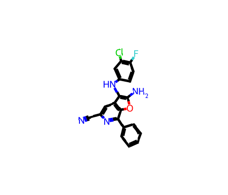 N#Cc1cc2c(Nc3ccc(F)c(Cl)c3)c(N)oc2c(-c2ccccc2)n1